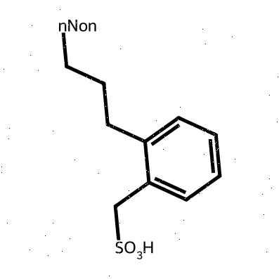 CCCCCCCCCCCCc1ccccc1CS(=O)(=O)O